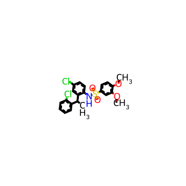 COc1ccc(S(=O)(=O)Nc2ccc(Cl)cc2C(C)c2ccccc2Cl)cc1OC